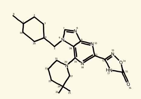 CC1CCC(Cn2cnc3nc(-c4noc(=O)[nH]4)nc(N4CCCC(C)(C)C4)c32)CC1